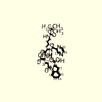 CC(C)(C)OC(=O)NCCCC[C@H](NC(=O)c1cnccn1)C(=O)N[C@H](CCC(=O)N1c2ccccc2C[C@H]1C(=O)O)C(=O)O